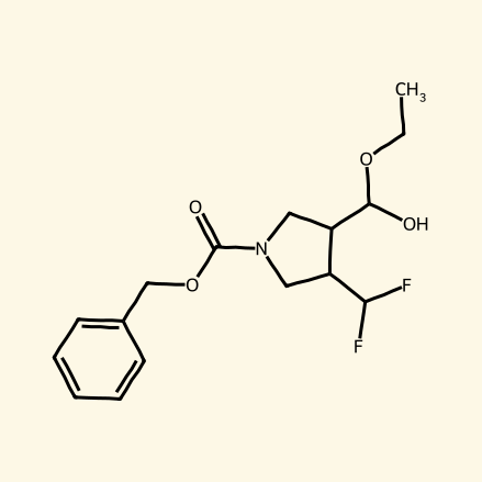 CCOC(O)C1CN(C(=O)OCc2ccccc2)CC1C(F)F